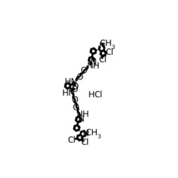 CN1Cc2c(Cl)cc(Cl)cc2[C@H](c2cccc(-c3ccc(NCCOCCOCCNC(=O)c4ccccc4C(=O)NCCOCCOCCNc4ccc(-c5cccc([C@@H]6CN(C)Cc7c(Cl)cc(Cl)cc76)c5)cn4)nc3)c2)C1.Cl